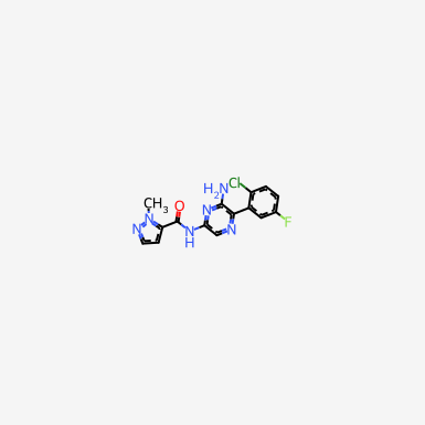 Cn1nccc1C(=O)Nc1cnc(-c2cc(F)ccc2Cl)c(N)n1